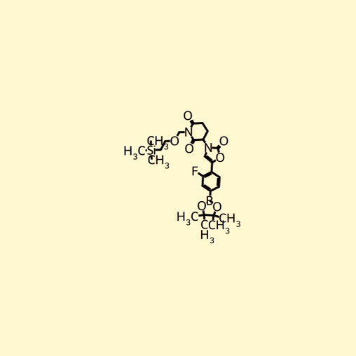 CC1(C)OB(c2ccc(-c3cn(C4CCC(=O)N(COCC[Si](C)(C)C)C4=O)c(=O)o3)c(F)c2)OC1(C)C